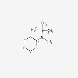 C[N]([Y]1[CH2]CCC[CH2]1)C(C)(C)C